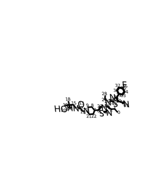 CCc1nc2sc(C3CCN(CC(=O)NCC(C)(C)CO)CC3)cn2c1N(CC)c1nc(-c2ccc(F)cc2)c(C#N)s1